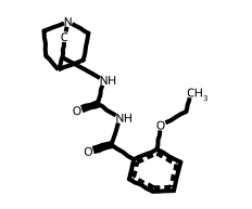 CCOc1ccccc1C(=O)NC(=O)NC1CN2CCC1CC2